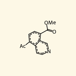 COC(=O)c1ccc(C(C)=O)c2ccncc12